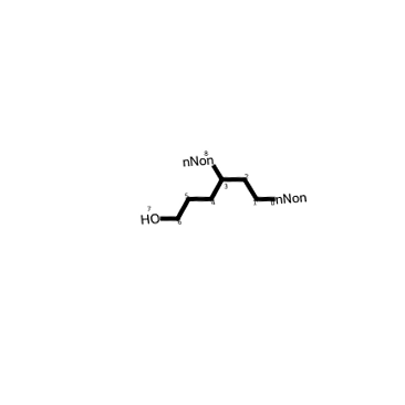 CCCCCCCCCCCC(CCCO)CCCCCCCCC